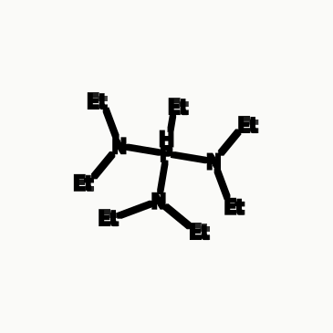 CCN(CC)[PH](CC)(N(CC)CC)N(CC)CC